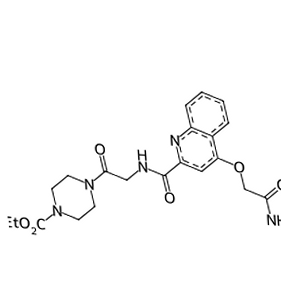 CCOC(=O)N1CCN(C(=O)CNC(=O)c2cc(OCC(N)=O)c3ccccc3n2)CC1